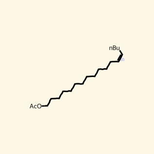 CCCC/C=C\CCCCCCCCCCCCOC(C)=O